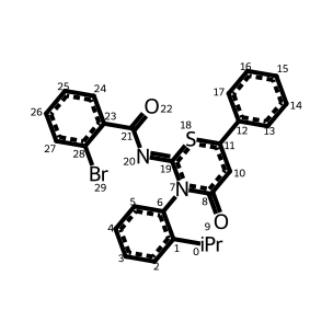 CC(C)c1ccccc1-n1c(=O)cc(-c2ccccc2)s/c1=N\C(=O)c1ccccc1Br